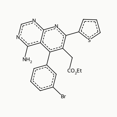 CCOC(=O)Cc1c(-c2cccs2)nc2ncnc(N)c2c1-c1cccc(Br)c1